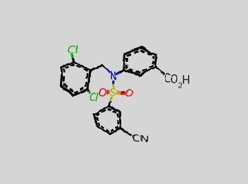 N#Cc1cccc(S(=O)(=O)N(Cc2c(Cl)cccc2Cl)c2cccc(C(=O)O)c2)c1